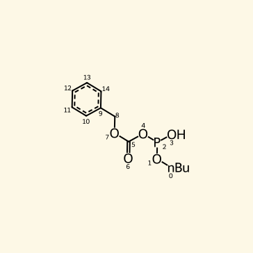 CCCCOP(O)OC(=O)OCc1ccccc1